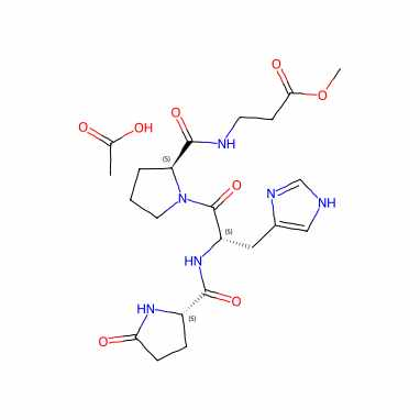 CC(=O)O.COC(=O)CCNC(=O)[C@@H]1CCCN1C(=O)[C@H](Cc1c[nH]cn1)NC(=O)[C@@H]1CCC(=O)N1